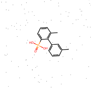 Cc1cccc(-c2c(C)cccc2P(=O)(O)O)c1